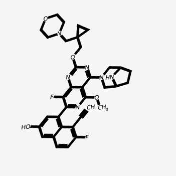 C#Cc1c(F)ccc2cc(O)cc(-c3nc(OC)c4c(N5CC6CCC(C5)N6)nc(OCC5(CN6CCOCC6)CC5)nc4c3F)c12